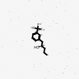 CCC[C@@H](O)Cc1cccc(C(F)(F)F)c1